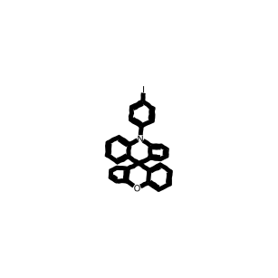 Ic1ccc(N2c3ccccc3C3(C4=C(C=CCC4)Oc4ccccc43)c3ccccc32)cc1